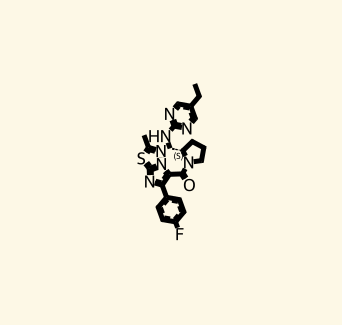 CCc1cnc(NC[C@@H]2CCCN2C(=O)c2c(-c3ccc(F)cc3)nc3sc(C)nn23)nc1